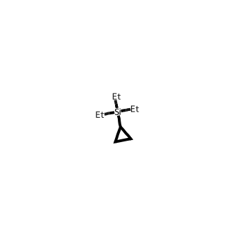 CC[Si](CC)(CC)C1CC1